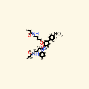 C=CC(=O)NCCCCOC1C=C(c2ccc([N+](=O)[O-])cc2)C=CC1(N=Nc1ccccc1)OCCCCNC(=O)C=C